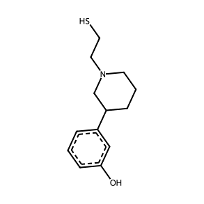 Oc1cccc(C2CCCN(CCS)C2)c1